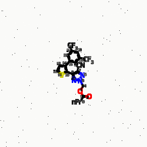 CCCC(=O)OCn1nc(C#N)c(-c2sccc2-c2cc(C(F)(F)F)cc(C(F)(F)F)c2)n1